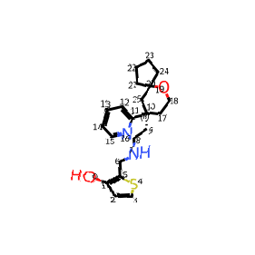 Oc1ccsc1CNCC[C@@]1(c2ccccn2)CCOC2(CCCC2)C1